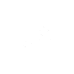 Sc1nncn1CCCCCl